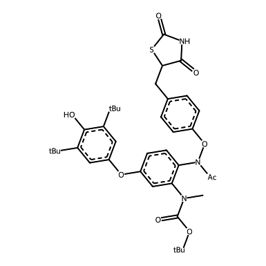 CC(=O)N(Oc1ccc(CC2SC(=O)NC2=O)cc1)c1ccc(Oc2cc(C(C)(C)C)c(O)c(C(C)(C)C)c2)cc1N(C)C(=O)OC(C)(C)C